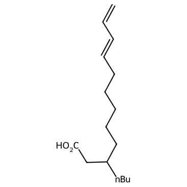 C=CC=CCCCCCC(CCCC)CC(=O)O